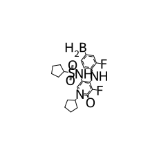 Bc1ccc(Nc2c(NS(=O)(=O)C3CCCC3)cn(C3CCCC3)c(=O)c2F)c(F)c1